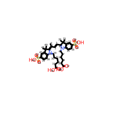 CC(/C=C/C1=[N+](CCCCCC(=O)O)c2ccc(S(=O)(=O)O)cc2C1(C)C)=C1/N(CCCCCC(=O)O)c2ccc(S(=O)(=O)O)cc2C1(C)C